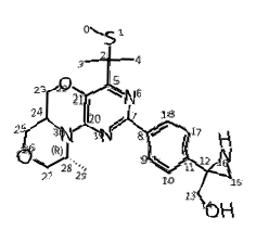 CSC(C)(C)c1nc(-c2ccc(C3(CO)CN3)cc2)nc2c1OCC1COC[C@@H](C)N21